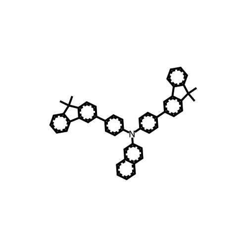 CC1(C)c2ccccc2-c2cc(-c3ccc(N(c4ccc(-c5ccc6c(c5)-c5ccccc5C6(C)C)cc4)c4ccc5ccccc5c4)cc3)ccc21